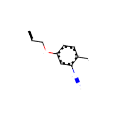 C=CCOc1ccc(C)c([N+]#N)c1